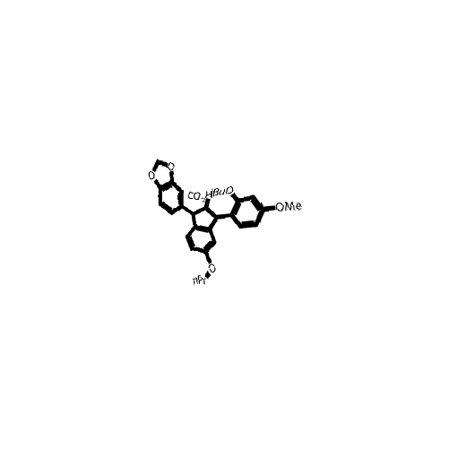 CCCOc1ccc2c(c1)C(c1ccc(OC)cc1OCC(C)C)C(C(=O)O)C2c1ccc2c(c1)OCO2